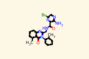 Cc1ccccc1-n1c(CNC(=O)c2nc(Br)cnc2N)nc2cccc(C)c2c1=O